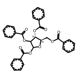 O=C(OC[C@H]1OC(OC(=O)c2ccccc2)C(OC(=O)c2ccccc2)[C@@H]1OC(=O)c1ccccc1)c1ccccc1